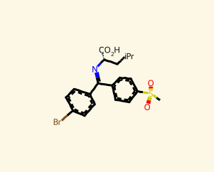 CC(C)C[C@H](N=C(c1ccc(Br)cc1)c1ccc(S(C)(=O)=O)cc1)C(=O)O